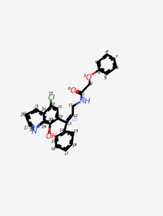 O=C(COc1ccccc1)NC/C=C(/c1ccccc1)c1cc(Cl)c2cccnc2c1O